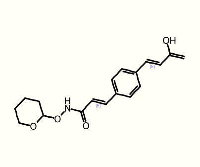 C=C(O)/C=C/c1ccc(/C=C/C(=O)NOC2CCCCO2)cc1